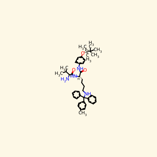 Cc1ccc(C(NCCCC[C@H](NC(=O)[C@@H](N)C(C)C)C(=O)Nc2ccc(O[Si](C)(C)C(C)(C)C)cc2)(c2ccccc2)c2ccccc2)cc1